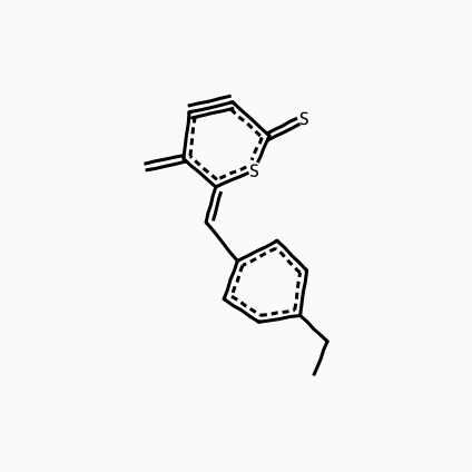 C=c1c#cc(=S)s/c1=C\c1ccc(CC)cc1